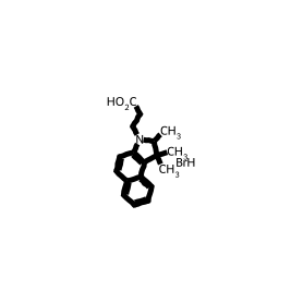 Br.CC1N(CCC(=O)O)c2ccc3ccccc3c2C1(C)C